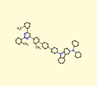 Cc1cc(-c2cc(-c3ccccc3C)nc(-c3ccccc3C)n2)ccc1-c1ccc(-c2ccc(-n3c4ccccc4c4cc(N(c5ccccc5)c5ccccc5)ccc43)cc2)cc1